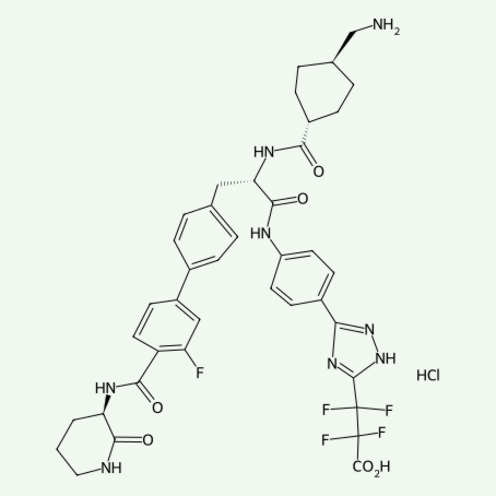 Cl.NC[C@H]1CC[C@H](C(=O)N[C@@H](Cc2ccc(-c3ccc(C(=O)N[C@@H]4CCCNC4=O)c(F)c3)cc2)C(=O)Nc2ccc(-c3n[nH]c(C(F)(F)C(F)(F)C(=O)O)n3)cc2)CC1